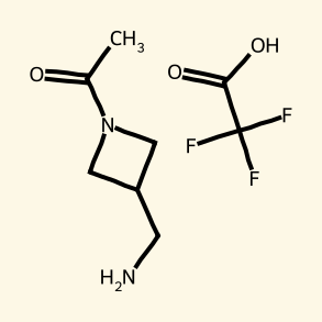 CC(=O)N1CC(CN)C1.O=C(O)C(F)(F)F